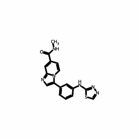 CNC(=O)c1ccn2c(-c3cccc(Nc4nncs4)c3)cnc2c1